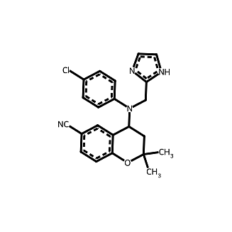 CC1(C)CC(N(Cc2ncc[nH]2)c2ccc(Cl)cc2)c2cc(C#N)ccc2O1